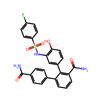 NC(=O)c1ccc(-c2cccc(C(N)=O)c2-c2ccc(O)c(NS(=O)(=O)c3ccc(F)cc3)c2)cc1